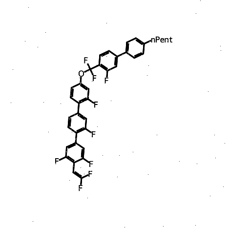 CCCCCc1ccc(-c2ccc(C(F)(F)Oc3ccc(-c4ccc(-c5cc(F)c(C=C(F)F)c(F)c5)c(F)c4)c(F)c3)c(F)c2)cc1